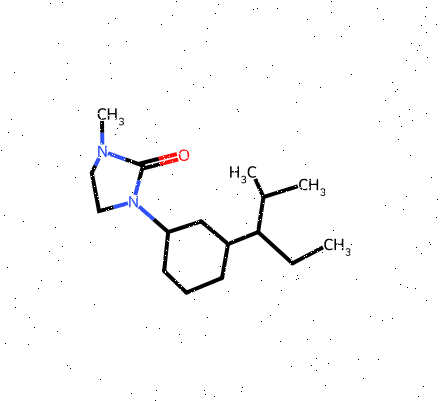 CCC(C(C)C)C1CCCC(N2CCN(C)C2=O)C1